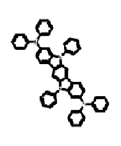 c1ccc(N(c2ccccc2)c2ccc3c4cc5c(cc4n(-c4ccccc4)c3c2)c2ccc(N(c3ccccc3)c3ccccc3)cc2n5-c2ccccc2)cc1